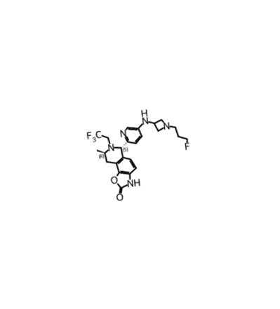 C[C@@H]1Cc2c(ccc3[nH]c(=O)oc23)[C@@H](c2ccc(NC3CN(CCCF)C3)cn2)N1CC(F)(F)F